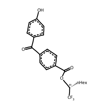 CCCCCC[C@@H](OC(=O)c1ccc(C(=O)c2ccc(O)cc2)cc1)C(F)(F)F